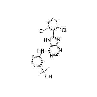 CC(C)(O)c1ccnc(Nc2ncnc3nc(-c4c(Cl)cccc4Cl)[nH]c23)c1